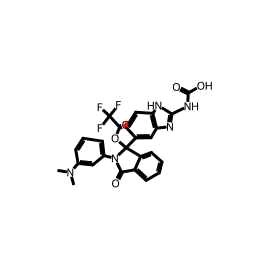 CN(C)c1cccc(N2C(=O)c3ccccc3C2(OC(=O)C(F)(F)F)c2ccc3[nH]c(NC(=O)O)nc3c2)c1